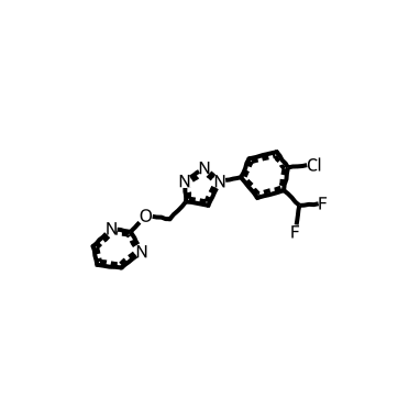 FC(F)c1cc(-n2cc(COc3ncccn3)nn2)ccc1Cl